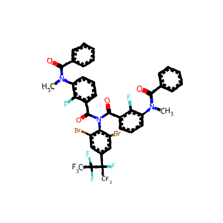 CN(C(=O)c1ccccc1)c1cccc(C(=O)N(C(=O)c2cccc(N(C)C(=O)c3ccccc3)c2F)c2c(Br)cc(C(F)(C(F)(F)F)C(F)(F)C(F)(F)F)cc2Br)c1F